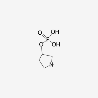 O=P(O)(O)OC1CC[N]C1